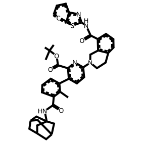 Cc1c(C(=O)NC23CC4CC(CC(C4)C2)C3)cccc1-c1ccc(N2CCc3cccc(C(=O)Nc4nc5ccccc5s4)c3C2)nc1C(=O)OC(C)(C)C